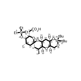 CC[Si](CC)(CC)O[C@@H]1[C@H](CC(=O)O)O[C@]2(C[C@H](C)[C@@H]3O[C@@H]4CO[Si](C(C)(C)C)(C(C)(C)C)O[C@@H]4C[C@@H]3O2)C[C@@H]1C